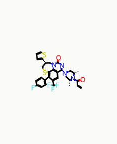 C=CC(=O)N1[C@H](C)CN(c2nc(=O)n3c4c(c(-c5ccc(F)cc5)c(C(F)(F)F)cc24)SC[C@@H](c2cccs2)C3)C[C@@H]1C